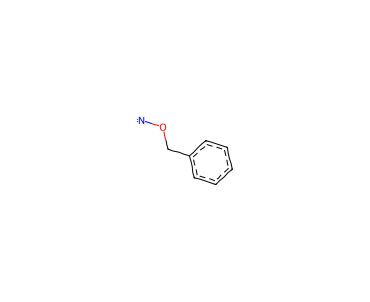 [N]OCc1ccccc1